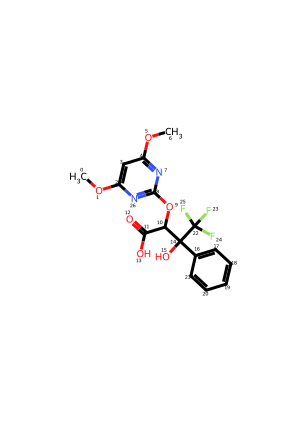 COc1cc(OC)nc(OC(C(=O)O)C(O)(c2ccccc2)C(F)(F)F)n1